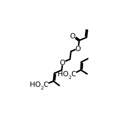 C=CC(=O)OCCOCC=C(C)C(=O)O.CC=C(C)C(=O)O